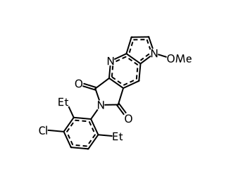 CCc1ccc(Cl)c(CC)c1N1C(=O)c2cc3c(ccn3OC)nc2C1=O